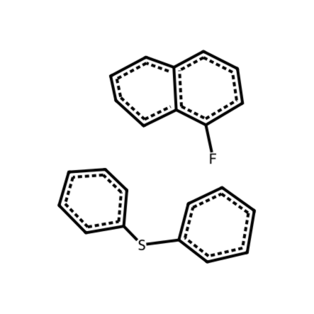 Fc1cccc2ccccc12.c1ccc(Sc2ccccc2)cc1